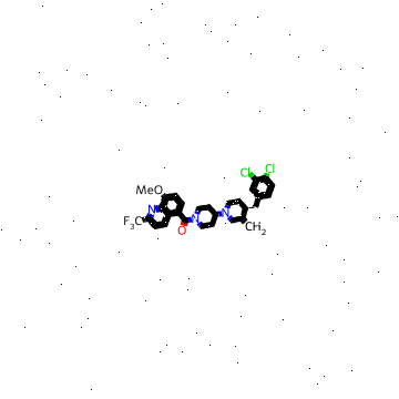 C=C1CN(C2CCN(C(=O)c3ccc(OC)c4nc(C(F)(F)F)ccc34)CC2)CC[C@@H]1Cc1ccc(Cl)c(Cl)c1